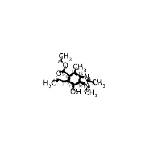 C=CCc1c(C(=O)OCC)c(C)c2nc(C)n(C)c2c1O